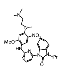 COc1cc(N(C)CCN(C)C)c([N+](=O)[O-])cc1Nc1nccc(-n2c(=O)n(C(C)C)c3ccccc32)n1